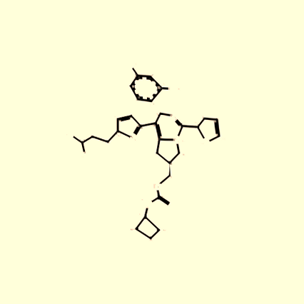 O=C(NC[C@H]1CC2=C(C3=NC(CCC(F)F)C=C3)[C@H](c3ccc(F)cc3Cl)N=C(C3CC=CS3)N2C1)OC1CCC1